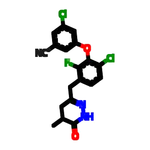 CC1CC(Cc2ccc(Cl)c(Oc3cc(Cl)cc(C#N)c3)c2F)=NNC1=O